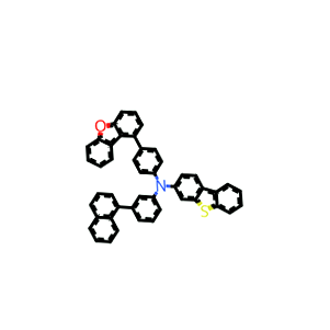 c1cc(-c2cccc3ccccc23)cc(N(c2ccc(-c3cccc4oc5ccccc5c34)cc2)c2ccc3c(c2)sc2ccccc23)c1